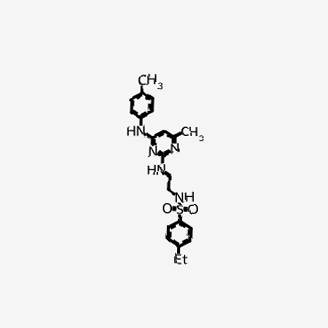 CCc1ccc(S(=O)(=O)NCCNc2nc(C)cc(Nc3ccc(C)cc3)n2)cc1